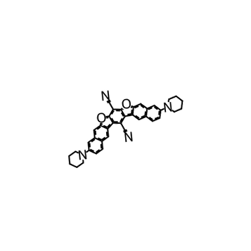 N#Cc1c2oc3cc4cc(N5CCCCC5)ccc4cc3c2c(C#N)c2c1oc1cc3cc(N4CCCCC4)ccc3cc12